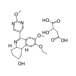 CCOc1cc2c(cc1OC)C(c1cnc(OC)nc1)=N[C@@H]1CC[C@@H](O)C[C@H]21.O=C(O)CC(O)C(=O)O